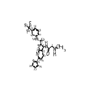 CNCC(=O)Nc1c(C(=O)Nc2cccc(C(F)(F)F)c2)sc2nc(-c3cccs3)ccc12